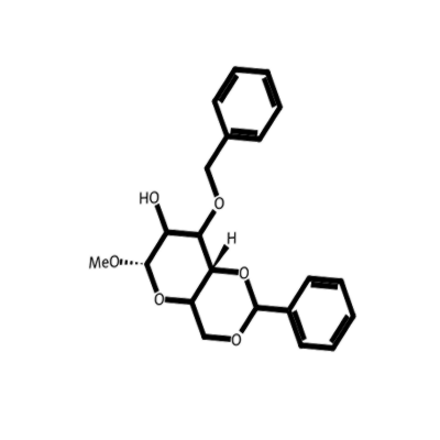 CO[C@H]1OC2COC(c3ccccc3)O[C@H]2C(OCc2ccccc2)C1O